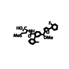 COC(c1ccc(C(=O)NC(CCSC)C(=O)O)c(-c2ccccc2C)c1)c1ccc(-c2ccccc2F)o1